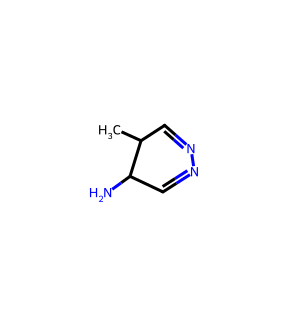 CC1C=NN=CC1N